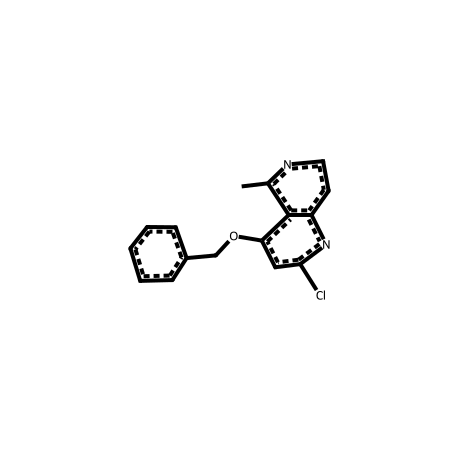 Cc1nccc2nc(Cl)cc(OCc3ccccc3)c12